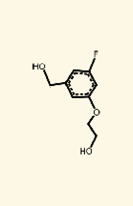 O[CH]c1cc(F)cc(OCCO)c1